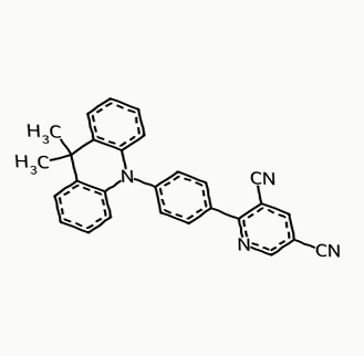 CC1(C)c2ccccc2N(c2ccc(-c3ncc(C#N)cc3C#N)cc2)c2ccccc21